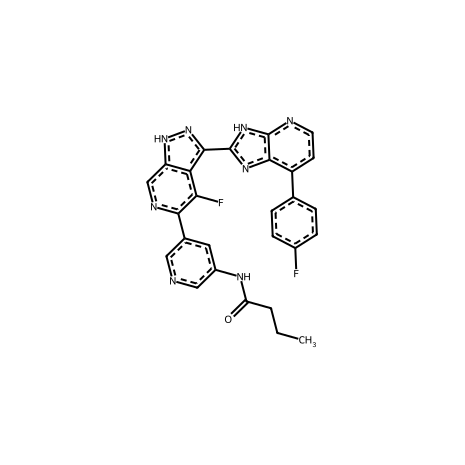 CCCC(=O)Nc1cncc(-c2ncc3[nH]nc(-c4nc5c(-c6ccc(F)cc6)ccnc5[nH]4)c3c2F)c1